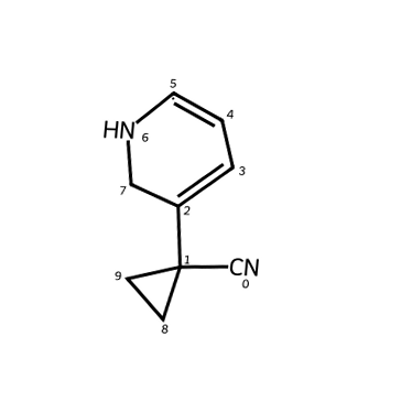 N#CC1(C2=CC=[C]NC2)CC1